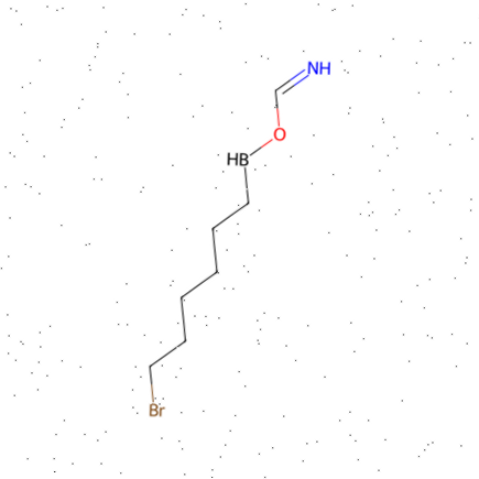 N=COBCCCCCCBr